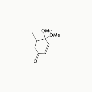 COC1(OC)C=CC(=O)CC1C